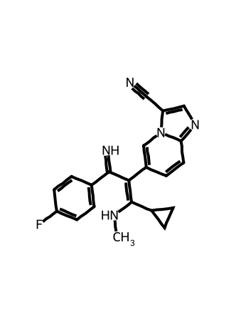 CN/C(=C(\C(=N)c1ccc(F)cc1)c1ccc2ncc(C#N)n2c1)C1CC1